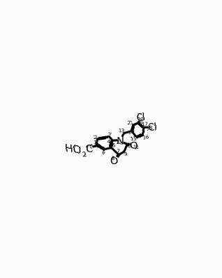 O=C(O)c1ccc2c(c1)C(=O)CC(=O)N2Cc1ccc(Cl)c(Cl)c1